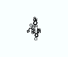 Cn1cc2cc(NC(=O)C(CC3CCC3)N3CON(c4cc(Cl)ccc4-n4cnnn4)CO3)ccc2n1